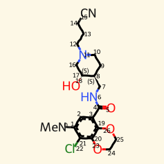 CNc1cc(C(=O)NC[C@@H]2CCN(CCCC#N)C[C@H]2O)c2c(c1Cl)OCCO2